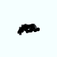 CC(C)(C)[C@H](NC(=O)c1cc2cc(C(F)(F)P(=O)(O)O)ccc2s1)C(=O)N1Cc2cc(OCC(=O)NCC#Cc3cccc4c3C(=O)N(C3CCC(=O)NC3=O)C4=O)ccc2C[C@H]1C(=O)N1CCC[C@H](c2ccccc2)C1